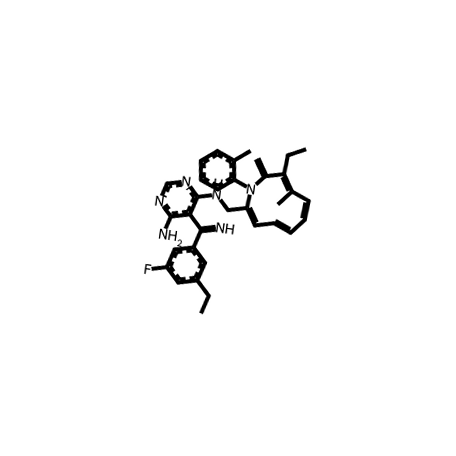 C=C1/C(CC)=C(C)/C=C\C=C\C=C(\CNc2ncnc(N)c2C(=N)c2cc(F)cc(CC)c2)N1c1ccccc1C